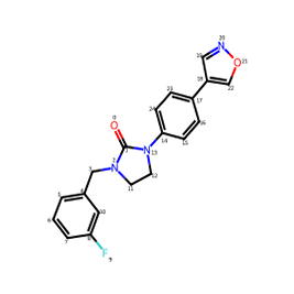 O=C1N(Cc2cccc(F)c2)CCN1c1ccc(-c2cnoc2)cc1